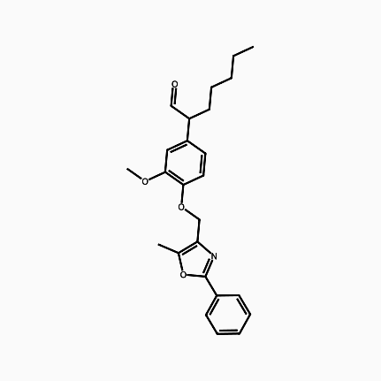 CCCCCC(C=O)c1ccc(OCc2nc(-c3ccccc3)oc2C)c(OC)c1